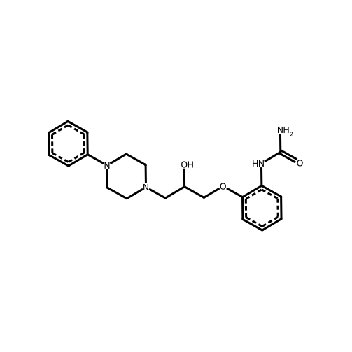 NC(=O)Nc1ccccc1OCC(O)CN1CCN(c2ccccc2)CC1